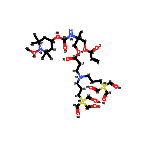 C=CC(=O)OCC(C)(COC(=O)CCN(CCCS(C=O)(C=O)C=O)CCCS(C=O)(C=O)C=O)NC(=O)OC1CC(C)(C)N(OC)C(C)(C)C1